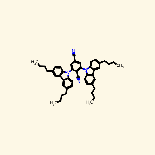 CCCCc1ccc2c(c1)c1cc(CCCC)ccc1n2-c1cc(C#N)cc(-n2c3ccc(CCCC)cc3c3cc(CCCC)ccc32)c1C#N